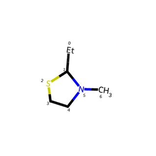 [CH2]CC1SCCN1C